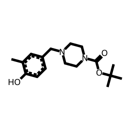 Cc1cc(CN2CCN(C(=O)OC(C)(C)C)CC2)ccc1O